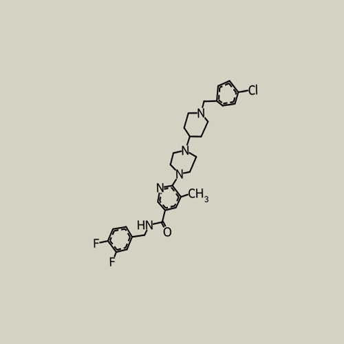 Cc1cc(C(=O)NCc2ccc(F)c(F)c2)cnc1N1CCN(C2CCN(Cc3ccc(Cl)cc3)CC2)CC1